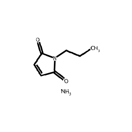 CCCN1C(=O)C=CC1=O.N